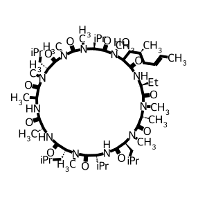 C/C=C/C[C@@H](C)[C@@H](O)C1C(=O)N[C@@H](CC)C(=O)N(C)[C@H](C)C(=O)N(C)[C@@H](CC(C)C)C(=O)N[C@H](C(C)C)C(=O)N(C)[C@H](CC(C)C)C(=O)N[C@H](C)C(=O)NC(C)C(=O)N(C)[C@H](CC(C)C)C(=O)N(C)C(=O)N(C)[C@@H](C(C)C)C(=O)N1C